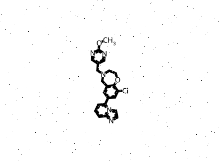 COc1ncc(CN2CCOc3c(Cl)cc(-c4cccc5nccn45)cc3C2)cn1